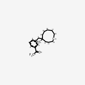 CC1(Cc2cccc(C(=O)C(F)(F)F)c2)CCCCCCCCC1